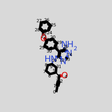 CC#CC(=O)[C@H]1CCC[C@@H](Nc2ncnc(N)c2-c2ccc(Oc3ccccc3)cc2)C1